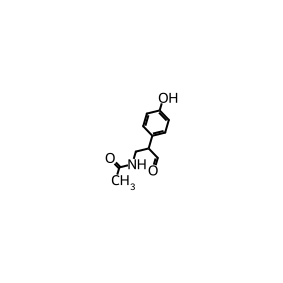 CC(=O)NCC(C=O)c1ccc(O)cc1